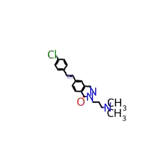 CN(C)CCCn1ncc2cc(/C=C/c3ccc(Cl)cc3)ccc2c1=O